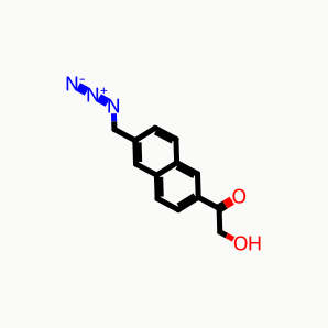 [N-]=[N+]=NCc1ccc2cc(C(=O)CO)ccc2c1